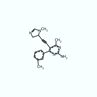 Cc1cccc(-c2nc(N)nc(C)c2C#CC2CN=CN2C)c1